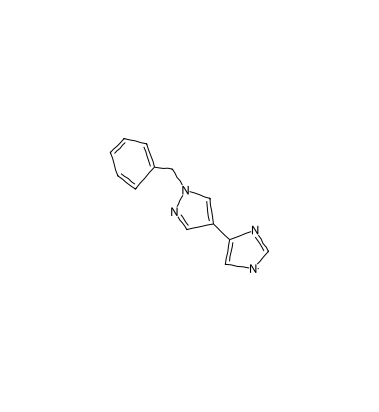 C1=NC(c2cnn(Cc3ccccc3)c2)=C[N]1